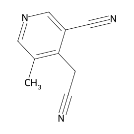 Cc1cncc(C#N)c1CC#N